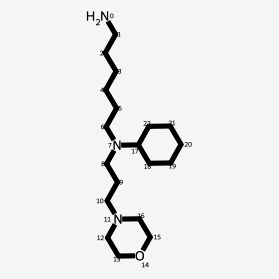 NCCCCCCN(CCCN1CCOCC1)C1CCCCC1